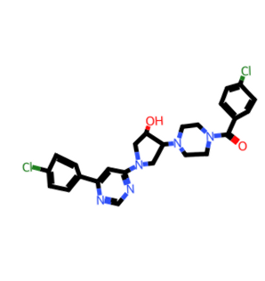 O=C(c1ccc(Cl)cc1)N1CCN(C2CN(c3cc(-c4ccc(Cl)cc4)ncn3)CC2O)CC1